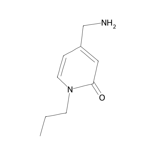 CCCn1ccc(CN)cc1=O